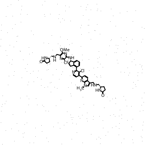 COc1nc(N[C@H]2CCc3c(-c4nccc(-c5ccc6c(CNC[C@H]7CCC(=O)N7)cn(C)c6n5)c4Cl)cccc32)c(C(F)(F)F)nc1CNC[C@@H]1CCC(=O)N1